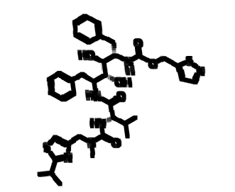 CC(C)c1nc(CN(C)C(=O)N[C@H](C(=O)N[C@@H](Cc2ccccc2)[C@@H](O)[C@@H](O)[C@H](Cc2ccccc2)NC(=O)OCc2ccns2)C(C)C)cs1